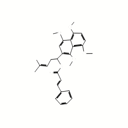 COc1ccc(OC)c2c(OC)c(C(CC=C(C)C)SC(=O)C=Cc3ccccc3)cc(OC)c12